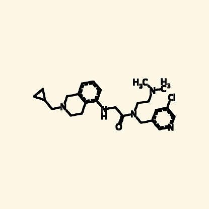 CN(C)CCN(Cc1cncc(Cl)c1)C(=O)CNc1cccc2c1CCN(CC1CC1)C2